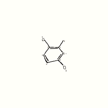 [CH2]c1nc(Cl)ccc1Cl